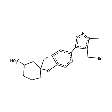 CC(C)C1(Oc2ccc(-c3nnn(C)c3CBr)cc2)CCCC(C(=O)O)C1